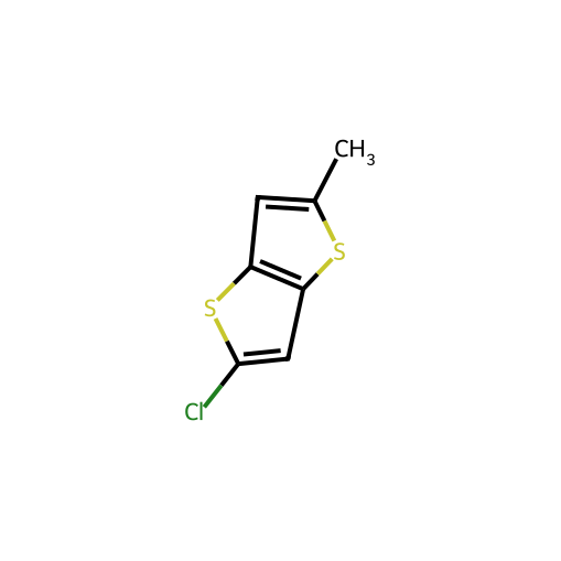 Cc1cc2sc(Cl)cc2s1